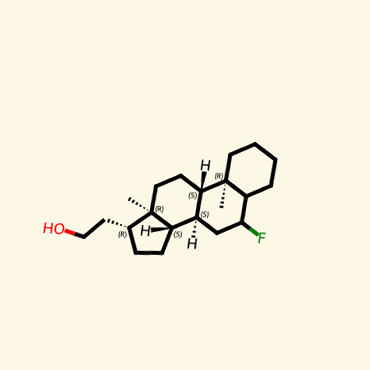 C[C@]12CC[C@H]3[C@@H](CC(F)C4CCCC[C@@]43C)[C@@H]1CC[C@@H]2CCO